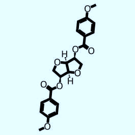 COc1ccc(C(=O)O[C@H]2CO[C@@H]3[C@H]2OC[C@@H]3OC(=O)c2ccc(OC)cc2)cc1